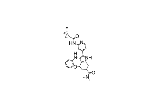 CN(C)C(=O)C1CC(=O)c2c([nH]c(-c3ccnc(NC(=O)C4C[C@H]4F)c3)c2Nc2ccccc2)C1